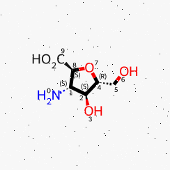 N[C@H]1[C@H](O)[C@@H](CO)O[C@@H]1C(=O)O